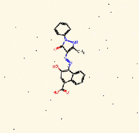 Cc1[nH]n(-c2ccccc2)c(=O)c1N=Nc1c(O)cc(C(=O)O)c2ccccc12